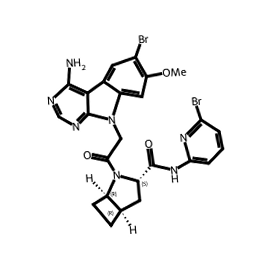 COc1cc2c(cc1Br)c1c(N)ncnc1n2CC(=O)N1[C@@H]2CC[C@@H]2C[C@H]1C(=O)Nc1cccc(Br)n1